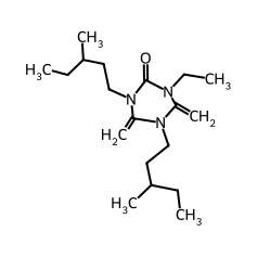 C=C1N(CCC(C)CC)C(=C)N(CCC(C)CC)C(=O)N1CC